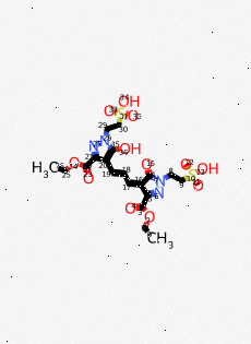 CCOC(=O)C1=NN(CCS(=O)(=O)O)C(=O)C1=CC=Cc1c(C(=O)OCC)nn(CCS(=O)(=O)O)c1O